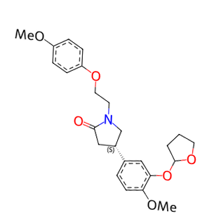 COc1ccc(OCCN2C[C@H](c3ccc(OC)c(OC4CCCO4)c3)CC2=O)cc1